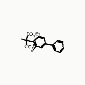 CCOC(=O)C(C)(C(=O)OCC)c1ccc(-c2ccccc2)cc1F